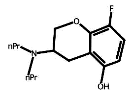 CCCN(CCC)C1COc2c(F)ccc(O)c2C1